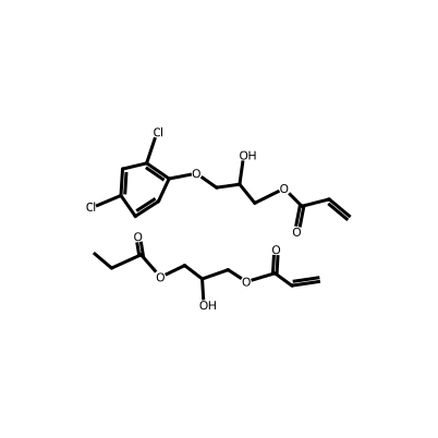 C=CC(=O)OCC(O)COC(=O)CC.C=CC(=O)OCC(O)COc1ccc(Cl)cc1Cl